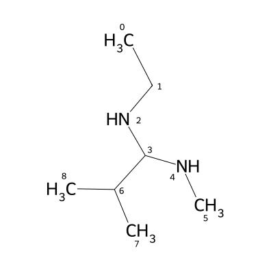 CCNC(NC)C(C)C